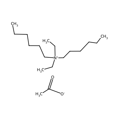 CC(=O)[O-].CCCCCC[N+](CC)(CC)CCCCCC